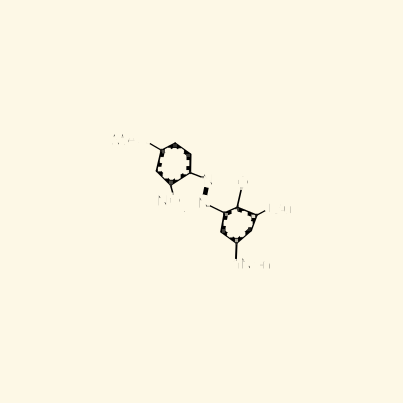 CCCCCCCCCc1cc(N=Nc2ccc(OC)cc2[N+](=O)[O-])c(O)c(C(C)(C)C)c1